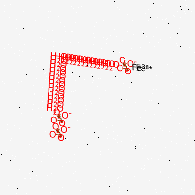 O.O.O.O.O.O.O.O.O.O.O.O.O.O.O.O.O.O.O.O.O.O.O.O.O.O.O.O=S(=O)([O-])[O-].O=S(=O)([O-])[O-].O=S(=O)([O-])[O-].[Fe+3].[Fe+3]